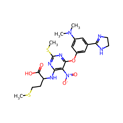 CSCCC(Nc1nc(SC)nc(Oc2cc(C3=NCCN3)cc(N(C)C)c2)c1[N+](=O)[O-])C(=O)O